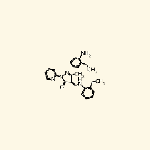 CCc1ccccc1N.CCc1ccccc1NC=C1C(=O)N(c2ccccn2)N=C1C